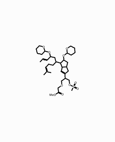 CC=CC(CC(CCC=C(C)C)C1C(OC2CCCCO2)CC2CC(C(COCC(=O)OC)COS(C)(=O)=O)=CC21)OC1CCCCO1